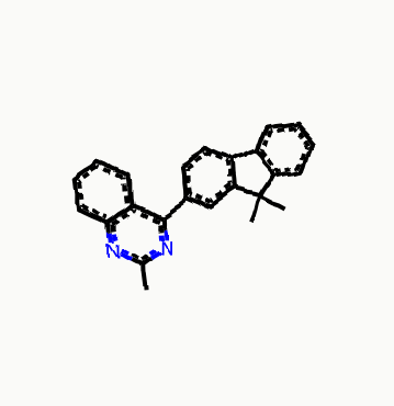 Cc1nc(-c2ccc3c(c2)C(C)(C)c2ccccc2-3)c2ccccc2n1